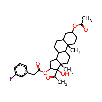 CC(=O)OC1CCC2(C)C(CCC3C2CCC2(C)C3CC(OC(=O)Cc3cccc(I)c3)C2(O)C(C)=O)C1